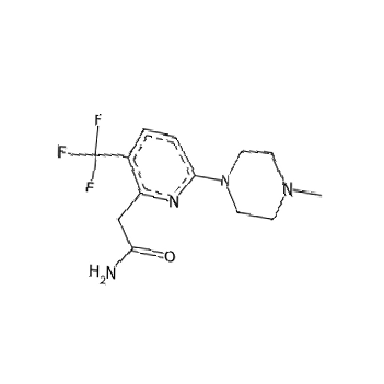 CN1CCN(c2ccc(C(F)(F)F)c(CC(N)=O)n2)CC1